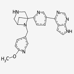 COc1ccc(CN2C3CNCC2(c2ccc(-c4ncnc5[nH]ccc45)cn2)C3)cn1